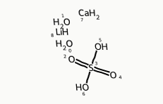 O.O.O=S(=O)(O)O.[CaH2].[LiH]